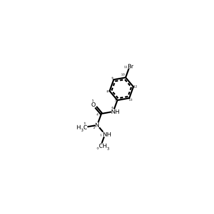 CNN(C)C(=O)Nc1ccc(Br)cc1